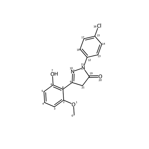 COc1cccc(O)c1C1=NN(c2ccc(Cl)cc2)C(=O)C1